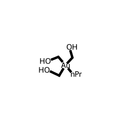 CC[CH2][Au]([CH2]O)([CH2]O)[CH2]O